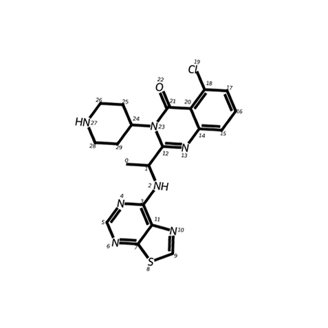 CC(Nc1ncnc2scnc12)c1nc2cccc(Cl)c2c(=O)n1C1CCNCC1